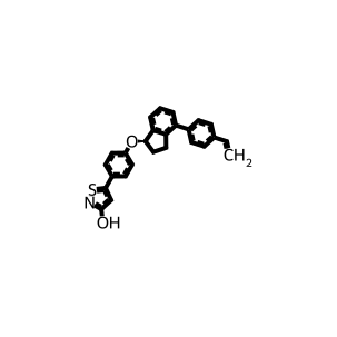 C=Cc1ccc(-c2cccc3c2CC[C@H]3Oc2ccc(-c3cc(O)ns3)cc2)cc1